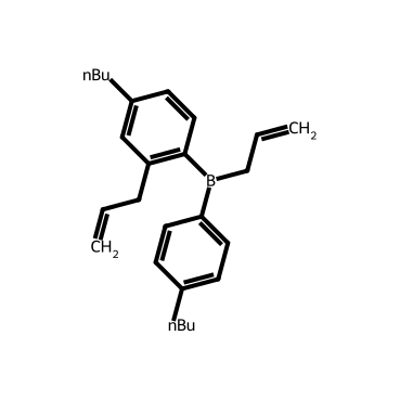 C=CCB(c1ccc(CCCC)cc1)c1ccc(CCCC)cc1CC=C